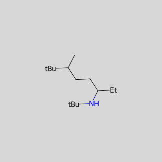 CCC(CCC(C)C(C)(C)C)NC(C)(C)C